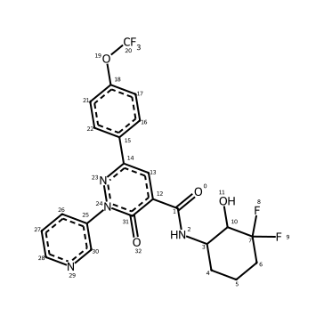 O=C(NC1CCCC(F)(F)C1O)c1cc(-c2ccc(OC(F)(F)F)cc2)nn(-c2cccnc2)c1=O